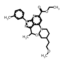 CCOC(=O)c1cc(N2CCC(CCOC)CC2)c2c(C(C)C)nn(-c3cccc(C)c3)c2n1